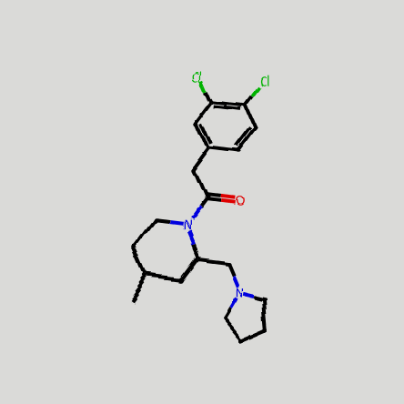 CC1CCN(C(=O)Cc2ccc(Cl)c(Cl)c2)C(CN2CCCC2)C1